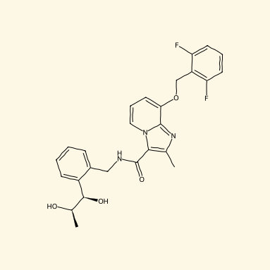 Cc1nc2c(OCc3c(F)cccc3F)cccn2c1C(=O)NCc1ccccc1[C@@H](O)[C@@H](C)O